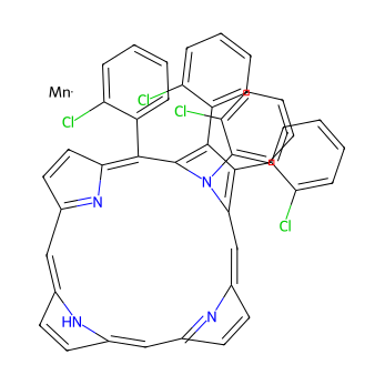 Clc1ccccc1-c1c(-c2ccccc2Cl)c2c(-c3ccccc3Cl)c3nc(cc4ccc(cc5nc(cc1n2-c1ccccc1Cl)C=C5)[nH]4)C=C3.[Mn]